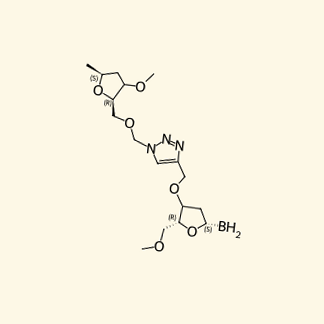 B[C@H]1CC(OCc2cn(COC[C@H]3O[C@@H](C)CC3OC)nn2)[C@@H](COC)O1